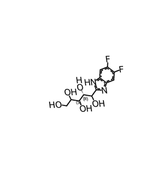 OCC(O)[C@H](O)[C@H](O)C(O)c1nc2cc(F)c(F)cc2[nH]1